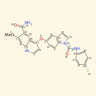 COc1cc2nccc(Oc3ccc4c(ccn4C(=O)Nc4ccc(F)cc4)c3)c2cc1C(N)=O